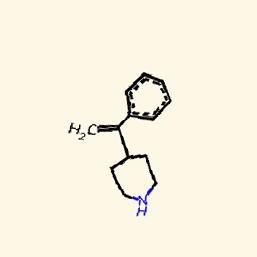 C=C(c1ccccc1)C1CCNCC1